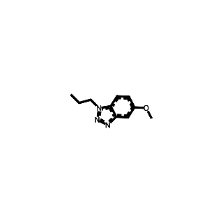 CCCn1nnc2cc(OC)ccc21